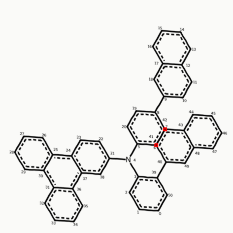 c1ccc(N(c2ccc(-c3ccc4ccccc4c3)cc2)c2ccc3c4ccccc4c4ccccc4c3c2)c(-c2ccc3ccccc3c2)c1